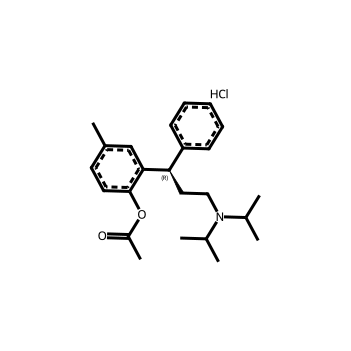 CC(=O)Oc1ccc(C)cc1[C@H](CCN(C(C)C)C(C)C)c1ccccc1.Cl